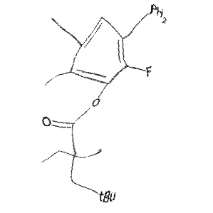 Cc1cc(P)c(F)c(OC(=O)C(C)(C)CC(C)(C)C)c1C